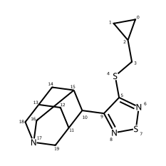 C1CC1CSc1nsnc1C1C2CC3CC1CN(C3)C2